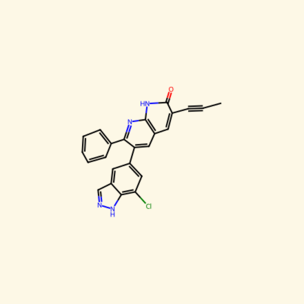 CC#Cc1cc2cc(-c3cc(Cl)c4[nH]ncc4c3)c(-c3ccccc3)nc2[nH]c1=O